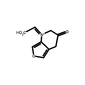 O=C(O)/C=[N+]1/CC(=O)Cc2cocc21